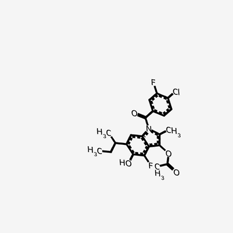 CCC(C)c1cc2c(c(F)c1O)c(OC(C)=O)c(C)n2C(=O)c1ccc(Cl)c(F)c1